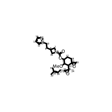 COC1C(OC(=O)N2CC(CCn3cccn3)C2)CCC2(CO2)C1[C@@]1(C)O[C@@H]1CC=C(C)C